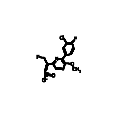 COc1ccc(/C(=C\[N+](=O)[O-])CF)nc1-c1ccc(F)c(Cl)c1